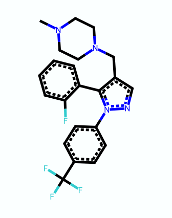 CN1CCN(Cc2cnn(-c3ccc(C(F)(F)F)cc3)c2-c2ccccc2F)CC1